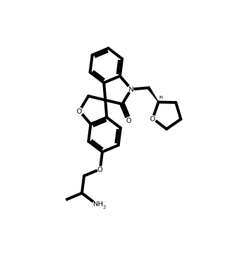 CC(N)COc1ccc2c(c1)OCC21C(=O)N(C[C@H]2CCCO2)c2ccccc21